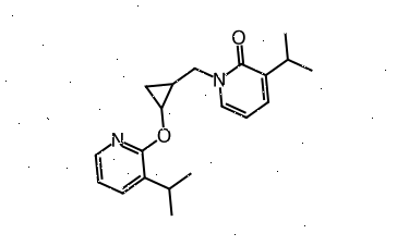 CC(C)c1cccnc1OC1CC1Cn1cccc(C(C)C)c1=O